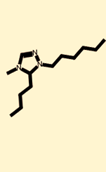 CCCCCCN1N=CN(C)C1CCCC